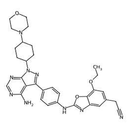 CCOc1cc(CC#N)cc2nc(Nc3ccc(-c4nn(C5CCC(N6CCOCC6)CC5)c5ncnc(N)c45)cc3)oc12